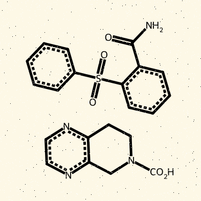 NC(=O)c1ccccc1S(=O)(=O)c1ccccc1.O=C(O)N1CCc2nccnc2C1